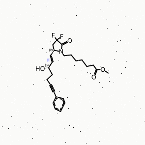 COC(=O)CCCCCCN1C(=O)C(F)(F)C[C@@H]1/C=C/[C@@H](O)CCC#Cc1ccccc1